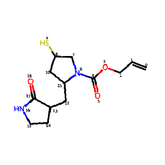 C=CCOC(=O)N1CC(S)CC1CC1CCNC1=O